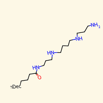 CCCCCCCCCCCCCC(=O)NCCCNCCCCNCCCN